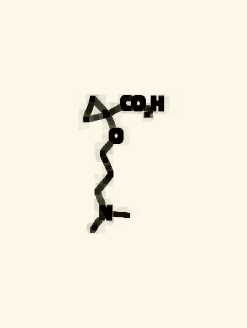 CN(C)CCCOC1(C(=O)O)CC1